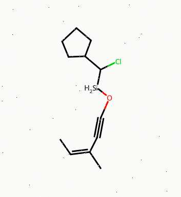 CC=C(C)C#CO[SiH2]C(Cl)C1CCCC1